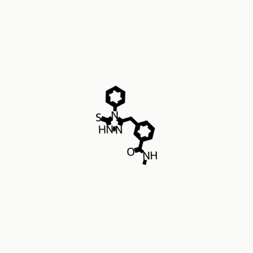 CNC(=O)c1cccc(Cc2n[nH]c(=S)n2-c2ccccc2)c1